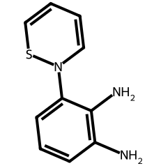 Nc1cccc(N2C=CC=CS2)c1N